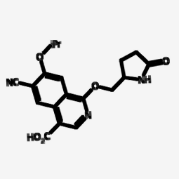 CC(C)Oc1cc2c(OCC3CCC(=O)N3)ncc(C(=O)O)c2cc1C#N